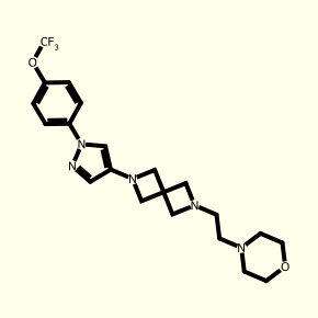 FC(F)(F)Oc1ccc(-n2cc(N3CC4(CN(CCN5CCOCC5)C4)C3)cn2)cc1